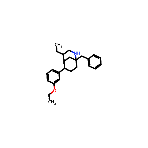 CCOc1cccc(C2CCC3(Cc4ccccc4)CC2C(CC)CN3)c1